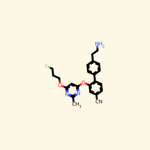 Cc1nc(OCCCF)cc(Oc2cc(C#N)ccc2-c2ccc(CCN)cc2)n1